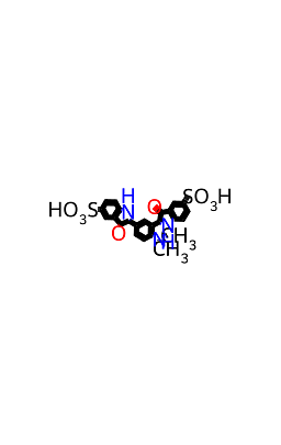 CN(C)c1ccc(C2Nc3ccc(S(=O)(=O)O)cc3C2=O)cc1C1Nc2ccc(S(=O)(=O)O)cc2C1=O